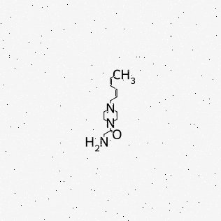 C/C=C\C=C/CN1CCN(C(=O)CN)CC1